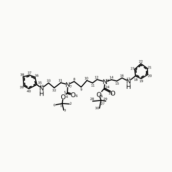 CC(C)(C)OC(=O)N(CCCCCN(CCCNc1ccccc1)C(=O)OC(C)(C)C)CCCNc1ccccc1